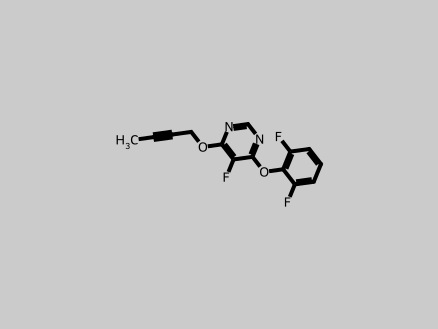 CC#CCOc1ncnc(Oc2c(F)cccc2F)c1F